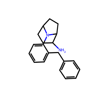 NC1CCC2CCC1N2c1ccccc1Cc1ccccc1